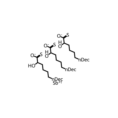 CCCCCCCCCCCCCCC(O)C([O-])=S.CCCCCCCCCCCCCCC(O)C([O-])=S.CCCCCCCCCCCCCCC(O)C([O-])=S.[Sb+3]